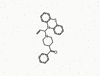 C=CC(N1CCC(C(=O)c2ccccc2)CC1)N1c2ccccc2Sc2ccccc21